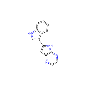 c1ccc2c(-c3cc4nccnc4[nH]3)c[nH]c2c1